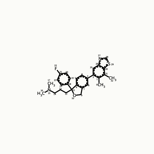 Cc1c(-c2ccc3c(c2)COC3(CCCN(C)C)c2ccc(F)cc2)cc2ncsc2c1C